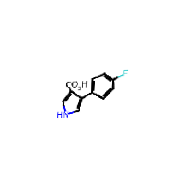 O=C(O)c1c[nH]cc1-c1ccc(F)cc1